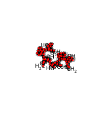 C=CC(=O)OCC(COc1ccc(C2(c3ccc(OCC(COC(=O)C=C)OC(=O)C4CC=CCC4C(=O)O)cc3)c3ccccc3Cc3ccccc32)cc1)OC(=O)c1cc(-c2ccc(C(=O)O)c(C(=O)OC(COC(=O)C=C)COc3ccc(C4(c5ccc(OCC(COC(=O)C=C)OC(=O)C6CC=CCC6C(=O)O)cc5)c5ccccc5Cc5ccccc54)cc3)c2)ccc1C(=O)O